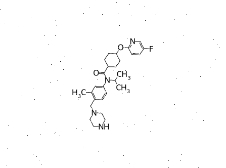 Cc1cc(N(C(=O)C2CCC(Oc3ccc(F)cn3)CC2)C(C)C)ccc1CN1CCNCC1